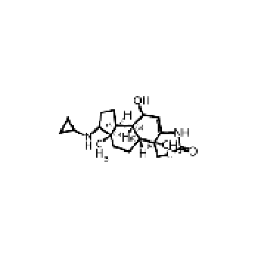 C[C@]12CCC(=O)NC1=CC(O)[C@@H]1[C@H]2CC[C@]2(C)C(NC3CC3)CC[C@@H]12